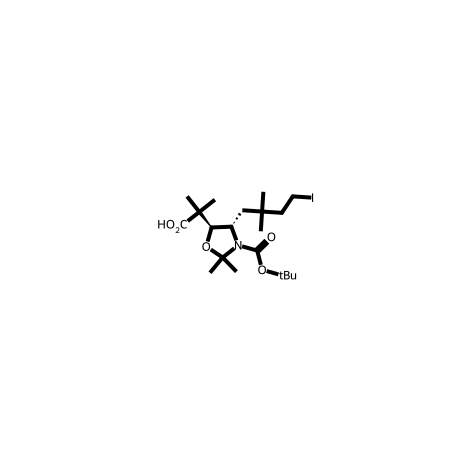 CC(C)(CCI)C[C@H]1[C@H](C(C)(C)C(=O)O)OC(C)(C)N1C(=O)OC(C)(C)C